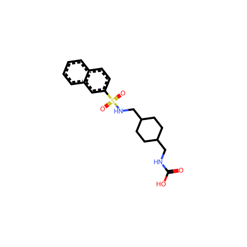 O=C(O)NCC1CCC(CNS(=O)(=O)c2ccc3ccccc3c2)CC1